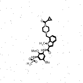 COc1c(NC(=O)c2cc3cccc(CN4CCN(C(=O)C5CC5)CC4)c3n2C)cc(C(C)(C)C)cc1NS(C)(=O)=O